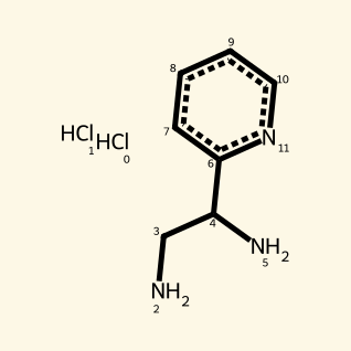 Cl.Cl.NCC(N)c1ccccn1